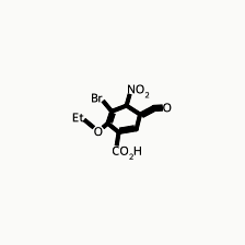 CCOC1=C(Br)C([N+](=O)[O-])C(=C=O)C=C1C(=O)O